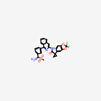 CS(=O)(=O)C(N)c1cccc(-c2nc(NC(=O)C3(c4ccc5c(c4)OC(F)(F)O5)CC3)cc3ccccc23)c1